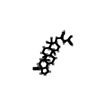 C=C(C)OC(=O)CC1CCC2(C)C(CCC3(C)C2CCC2C4CCCC4(C=O)CCC23C)C1(C)C